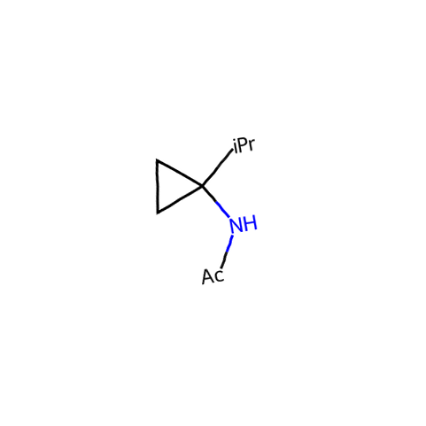 CC(=O)NC1(C(C)C)CC1